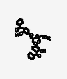 CCCCCCCCCCCC(=O)OC(COc1ccc(C(=O)c2ccccc2)c(O)c1)COc1ccc(C(=O)c2ccccc2)c(O)c1